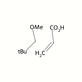 C=CC(=O)O.COCC(C)(C)C